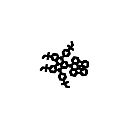 CCC(C)(C)c1ccc(N2c3ccc(C(C)(C)CC)cc3B3c4cc(C(C)(C)CC)ccc4N(c4ccc(C(C)(C)CC)cc4)c4cc(N(c5cccc6c5oc5ccccc56)c5cccc6c5oc5ccccc56)cc2c43)cc1